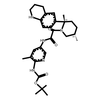 Cc1cc(NC(=O)C(=O)N2C[C@@H](C)CC[C@@]2(C)c2ccc3c(c2)CCCN3)cnc1NC(=O)OC(C)(C)C